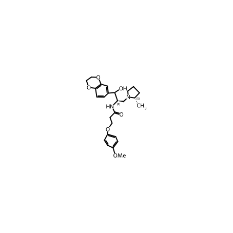 COc1ccc(OCCC(=O)N[C@H](CN2CCC[C@@H]2C)C(O)c2ccc3c(c2)OCCO3)cc1